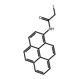 O=C(CI)Nc1ccc2ccc3cccc4ccc1c2c34